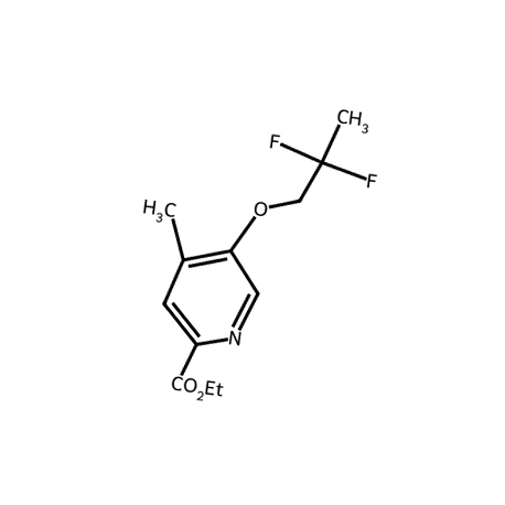 CCOC(=O)c1cc(C)c(OCC(C)(F)F)cn1